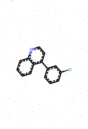 Clc1cccc(-c2ccnc3ccccc23)c1